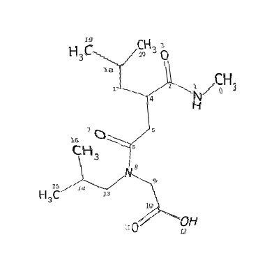 CNC(=O)C(CC(=O)N(CC(=O)O)CC(C)C)CC(C)C